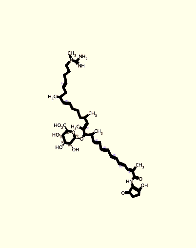 C\C(=C/C=C/C=C/C=C/C=C/C(C)C(O[C@@H]1O[C@H](C(=O)O)[C@@H](O)[C@H](O)[C@H]1O)/C(C)=C/C(C)CCC/C=C/C(C)C/C=C/CCCN(C)C(=N)N)C(=O)NC1=C(O)CCC1=O